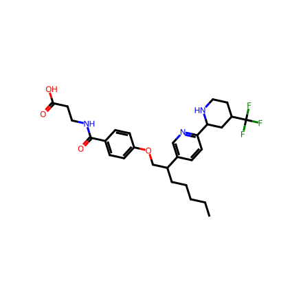 CCCCCC(COc1ccc(C(=O)NCCC(=O)O)cc1)c1ccc(C2CC(C(F)(F)F)CCN2)nc1